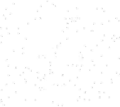 CCCC/C=C/c1ccc(Cc2c(C)[nH]c3ccc(C(=O)OC)cc23)c(Cl)c1